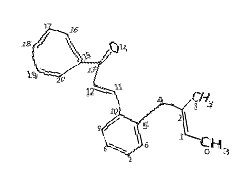 CC=C(C)Cc1ccccc1/C=C/C(=O)c1ccccc1